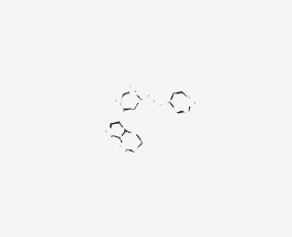 c1cnc2[nH]cc(-c3cc(NCc4ccncc4)ncn3)c2c1